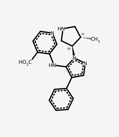 C[C@H]1CNC[C@@H]1n1ncc(-c2ccccc2)c1Nc1cnccc1C(=O)O